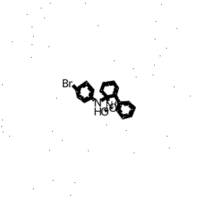 O=[N+]([O-])C1(Nc2ccc(Br)cc2)CC=CC=C1c1ccccc1